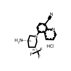 Cl.N#Cc1ccc(N2C[C@@H](N)C[C@@H](C(F)(F)F)C2)c2cccnc12